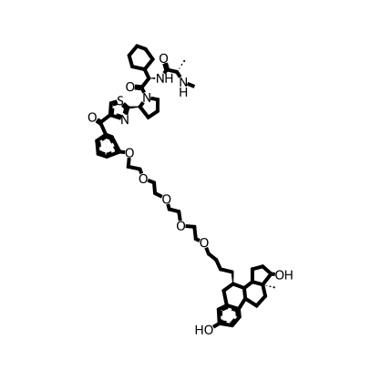 CN[C@@H](C)C(=O)N[C@H](C(=O)N1CCC[C@H]1c1nc(C(=O)c2cccc(OCCOCCOCCOCCOCCCC[C@@H]3Cc4cc(O)ccc4C4CC[C@]5(C)C(O)CCC5C43)c2)cs1)C1CCCCC1